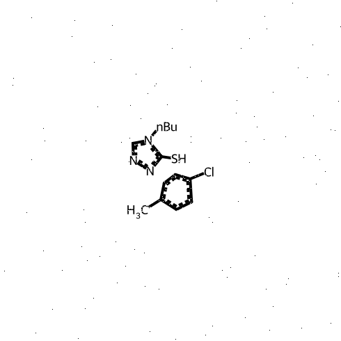 CCCCn1cnnc1S.Cc1ccc(Cl)cc1